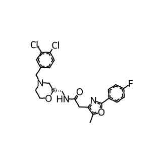 Cc1oc(-c2ccc(F)cc2)nc1CC(=O)NC[C@H]1CN(Cc2ccc(Cl)c(Cl)c2)CCO1